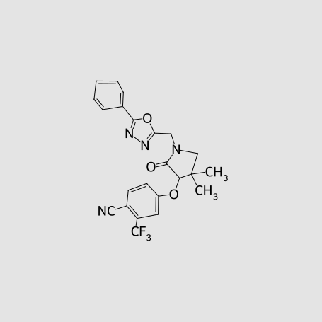 CC1(C)CN(Cc2nnc(-c3ccccc3)o2)C(=O)C1Oc1ccc(C#N)c(C(F)(F)F)c1